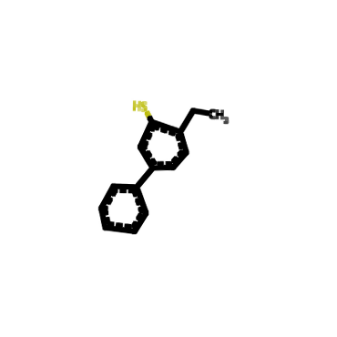 CCc1ccc(-c2ccccc2)cc1S